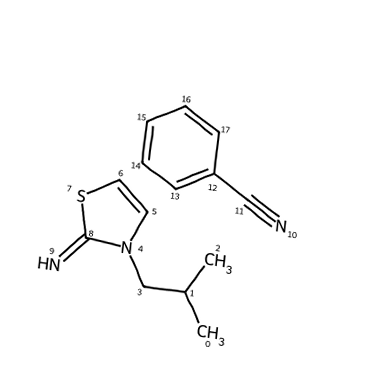 CC(C)Cn1ccsc1=N.N#Cc1ccccc1